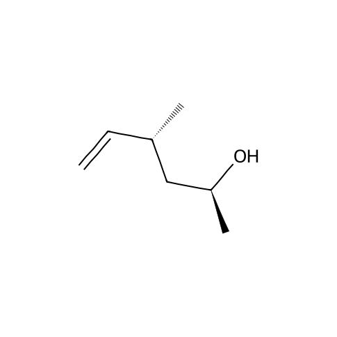 C=C[C@H](C)C[C@H](C)O